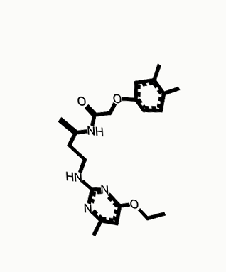 C=C(CCNc1nc(C)cc(OCC)n1)NC(=O)COc1ccc(C)c(C)c1